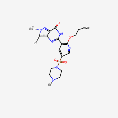 CCc1c2nc(-c3cc(S(=O)(=O)N4CCN(CC)CC4)cnc3OCCOC)[nH]c(=O)c2nn1[C@@H](C)CC